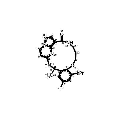 CCCc1cc(F)cc2c1OCCCNC(=O)c1cnn3ccc(nc13)N[C@@H]2C